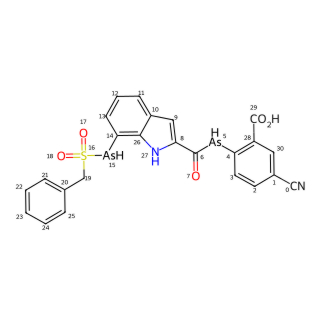 N#Cc1ccc([AsH]C(=O)c2cc3cccc([AsH]S(=O)(=O)Cc4ccccc4)c3[nH]2)c(C(=O)O)c1